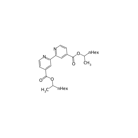 CCCCCCC(C)OC(=O)c1ccnc(-c2cc(C(=O)OC(C)CCCCCC)ccn2)c1